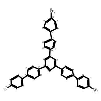 FC(F)(F)c1ccc(-c2ccc(-c3cc(-c4ccc(-c5ccc(C(F)(F)F)cc5)cc4)cc(-c4ccc(-c5ccc(C(F)(F)F)cc5)cc4)c3)cc2)cc1